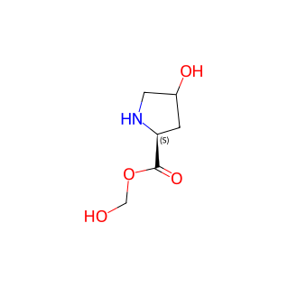 O=C(OCO)[C@@H]1CC(O)CN1